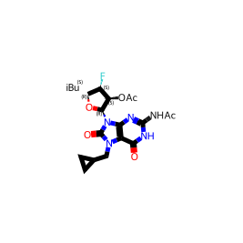 CC[C@H](C)[C@H]1O[C@@H](n2c(=O)n(CC3CC3)c3c(=O)[nH]c(NC(C)=O)nc32)[C@H](OC(C)=O)[C@H]1F